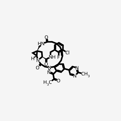 CC(=O)c1nn2c3c(cc(-c4cnc(C)nc4)cc13)CC=CCCCC(=O)NC[C@@]13C[C@@H](C(=O)NCc4cccc(Cl)c4F)N(C(=O)C2)[C@@H]1C3